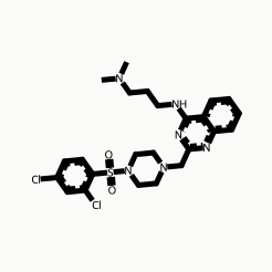 CN(C)CCCNc1nc(CN2CCN(S(=O)(=O)c3ccc(Cl)cc3Cl)CC2)nc2ccccc12